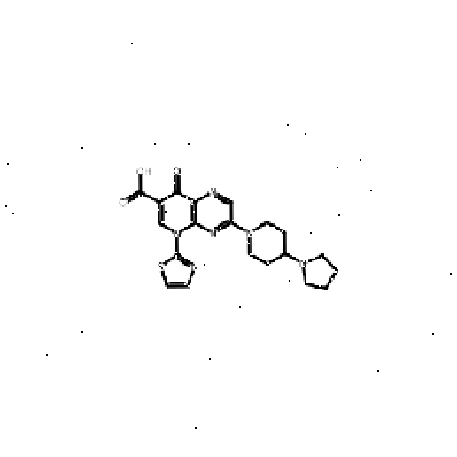 O=C(O)c1cn(-c2nccs2)c2nc(N3CCC(N4CCCC4)CC3)cnc2c1=O